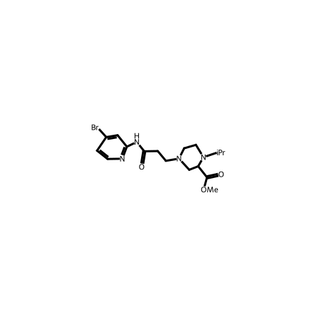 COC(=O)C1CN(CCC(=O)Nc2cc(Br)ccn2)CCN1C(C)C